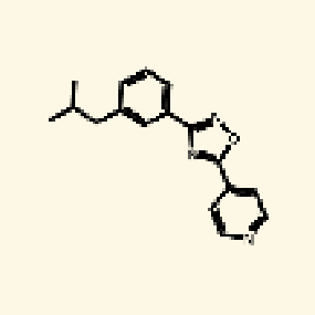 CC(C)Cc1cccc(-c2noc(-c3ccncc3)n2)c1